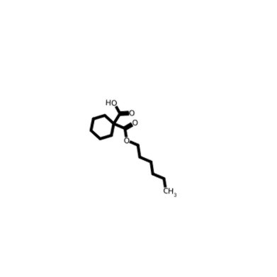 CCCCCCOC(=O)C1(C(=O)O)CCCCC1